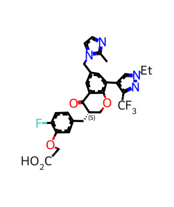 CCn1cc(-c2cc(Cn3ccnc3C)cc3c2OC[C@H](Cc2ccc(F)c(OCC(=O)O)c2)C3=O)c(C(F)(F)F)n1